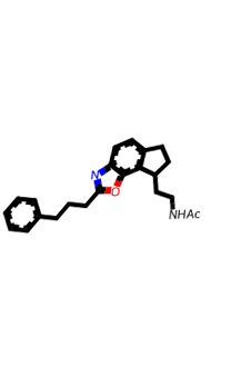 CC(=O)NCCC1CCc2ccc3nc(CCCc4ccccc4)oc3c21